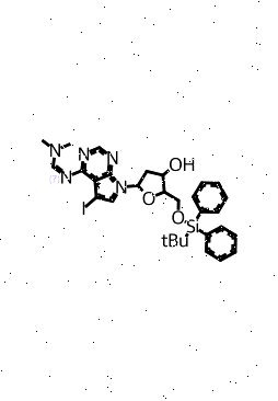 CN(C)/C=N\c1ncnc2c1c(I)cn2C1CC(O)C(CO[Si](c2ccccc2)(c2ccccc2)C(C)(C)C)O1